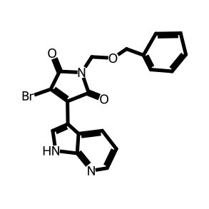 O=C1C(Br)=C(c2c[nH]c3ncccc23)C(=O)N1COCc1ccccc1